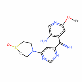 CC(C)Oc1cc(C(=N)c2cc(N3CC[S+]([O-])CC3)ncn2)c(N)cn1